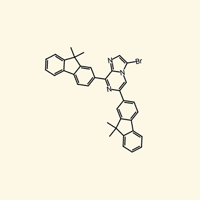 CC1(C)c2ccccc2-c2ccc(-c3cn4c(Br)cnc4c(-c4ccc5c(c4)C(C)(C)c4ccccc4-5)n3)cc21